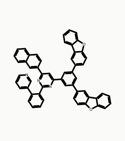 c1cncc(-c2ccccc2-c2nc(-c3cc(-c4ccc5oc6ccccc6c5c4)cc(-c4ccc5oc6ccccc6c5c4)c3)cc(-c3ccc4ccccc4c3)n2)c1